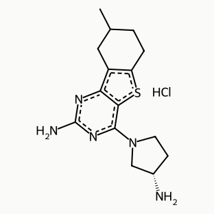 CC1CCc2sc3c(N4CC[C@H](N)C4)nc(N)nc3c2C1.Cl